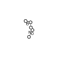 c1ccc(-c2nc3c(ccc4cc(-c5cccc6c5oc5ccccc56)ccc43)o2)cc1